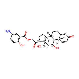 C[C@]12C=CC(=O)C=C1CC[C@@H]1[C@@H]2[C@@H](O)C[C@@]2(C)[C@H]1CC[C@]2(O)C(=O)COC(=O)c1cc(N)ccc1O